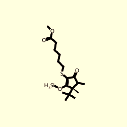 COC(=O)CCCCCSC1=C(O[SiH3])[C@@](C)(C(C)(C)C)C(C)C1=O